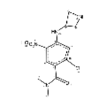 CN(C)C(=O)c1cc([N+](=O)[O-])c(NC2CNC2)cc1Cl.Cl